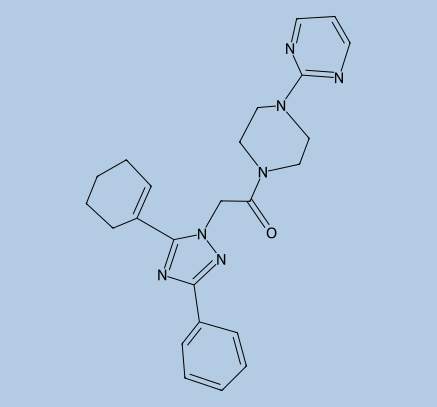 O=C(Cn1nc(-c2ccccc2)nc1C1=CCCCC1)N1CCN(c2ncccn2)CC1